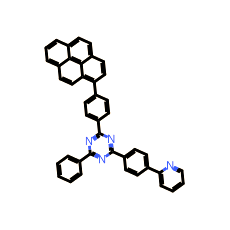 c1ccc(-c2nc(-c3ccc(-c4ccccn4)cc3)nc(-c3ccc(-c4ccc5ccc6cccc7ccc4c5c67)cc3)n2)cc1